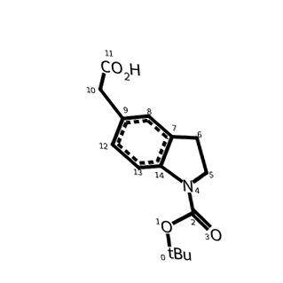 CC(C)(C)OC(=O)N1CCc2cc(CC(=O)O)ccc21